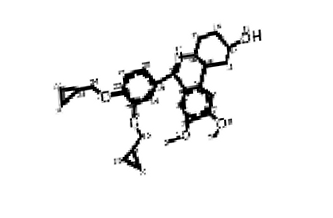 COc1cc2c(cc1OC)C1CC(O)CCC1N=C2c1ccc(OCC2CC2)c(OCC2CC2)c1